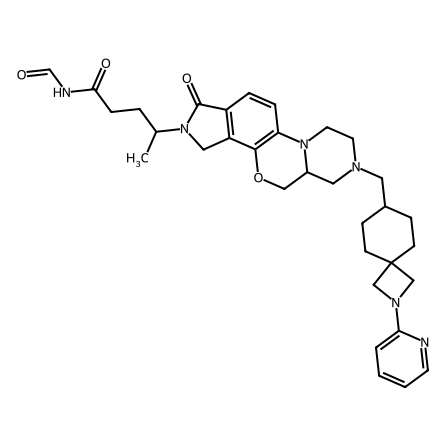 CC(CCC(=O)NC=O)N1Cc2c(ccc3c2OCC2CN(CC4CCC5(CC4)CN(c4ccccn4)C5)CCN32)C1=O